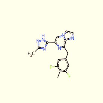 Cc1c(F)cc(Cc2nc(-c3nc(C(F)(F)F)n[nH]3)cn3ccnc23)cc1F